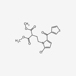 COC(=O)C(CCn1c(Cl)ccc1C(=O)c1ccsc1)C(=O)OC